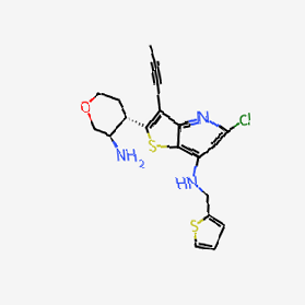 CC#Cc1c([C@H]2CCOC[C@@H]2N)sc2c(NCc3cccs3)cc(Cl)nc12